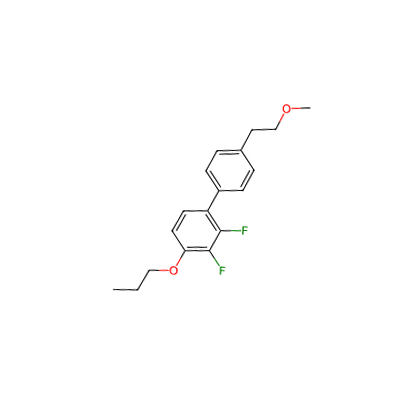 CCCOc1ccc(-c2ccc(CCOC)cc2)c(F)c1F